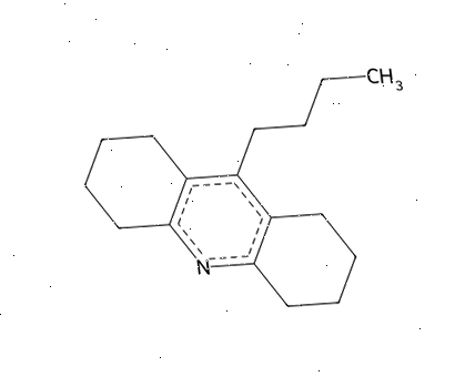 CCCCc1c2c(nc3c1CCCC3)CCCC2